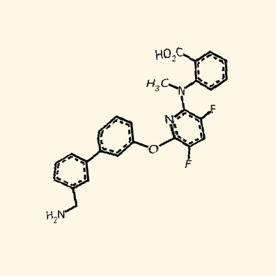 CN(c1ccccc1C(=O)O)c1nc(Oc2cccc(-c3cccc(CN)c3)c2)c(F)cc1F